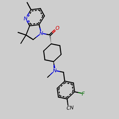 Cc1ccc2c(n1)C(C)(C)CN2C(=O)[C@H]1CC[C@H](N(C)Cc2ccc(C#N)c(F)c2)CC1